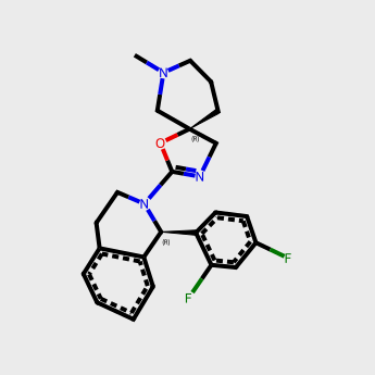 CN1CCC[C@]2(CN=C(N3CCc4ccccc4[C@@H]3c3ccc(F)cc3F)O2)C1